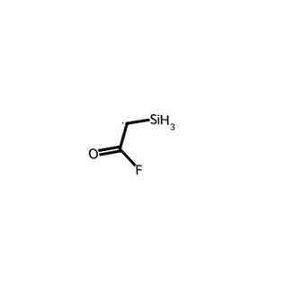 O=C(F)[CH][SiH3]